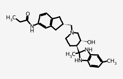 CCC(=O)Nc1ccc2c(c1)C[C@@H](CN1CC[C@H](C3(C)Nc4ccc(C)cc4N3)[C@@H](O)C1)C2